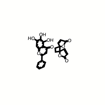 O=C1C=CC2(CCC23C=CC(=O)O3)O1.O=c1cc(-c2ccccc2)oc2cc(O)c(O)c(O)c12